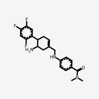 CN(C)C(=O)c1ccc(NCC2=CCC(c3cc(F)c(F)cc3F)C(N)C2)cc1